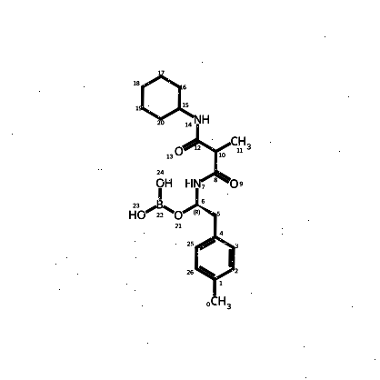 Cc1ccc(C[C@H](NC(=O)C(C)C(=O)NC2CCCCC2)OB(O)O)cc1